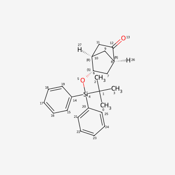 CC(C)(C)[Si](O[C@H]1C[C@H]2C[C@@H]1CC2=O)(c1ccccc1)c1ccccc1